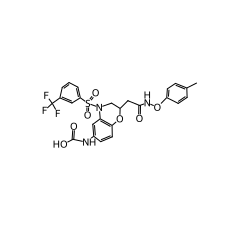 Cc1ccc(ONC(=O)CC2CN(S(=O)(=O)c3cccc(C(F)(F)F)c3)c3cc(NC(=O)O)ccc3O2)cc1